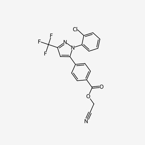 N#CCOC(=O)c1ccc(-c2cc(C(F)(F)F)nn2-c2ccccc2Cl)cc1